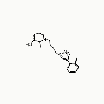 Cc1ccccc1-c1cn(CCCCN2C=CC=C(O)C2C)nn1